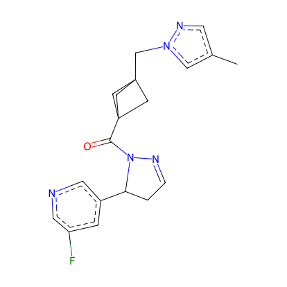 Cc1cnn(CC23CC(C(=O)N4N=CCC4c4cncc(F)c4)(C2)C3)c1